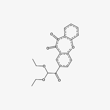 CCOC(OCC)C(=O)c1ccc2oc3ccccc3c(=O)c(=O)c2c1